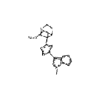 COC1C(c2nc(-c3cn(C)c4ccccc34)no2)C2CCN1CC2